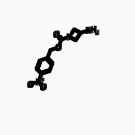 NC1CN(C(=O)OCc2ccc([N+](=O)[O-])cc2)C1